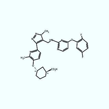 Cc1nc(-c2nnn(C)c2CNc2nccc(Oc3cc(F)ccc3F)n2)ccc1O[C@H]1CCC[C@H](C(=O)O)C1